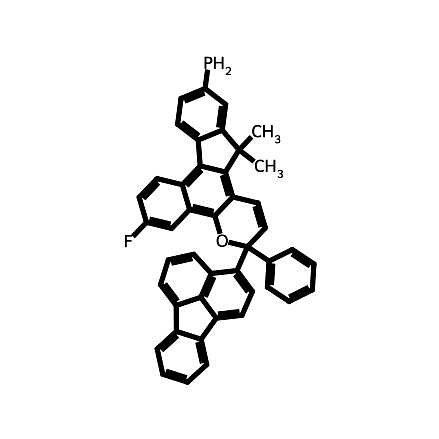 CC1(C)c2cc(P)ccc2-c2c1c1c(c3cc(F)ccc23)OC(c2ccccc2)(c2ccc3c4c(cccc24)-c2ccccc2-3)C=C1